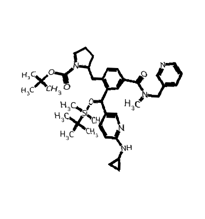 CN(Cc1cccnc1)C(=O)c1ccc(CC2CCCN2C(=O)OC(C)(C)C)c(C(O[Si](C)(C)C(C)(C)C)c2ccc(NC3CC3)nc2)c1